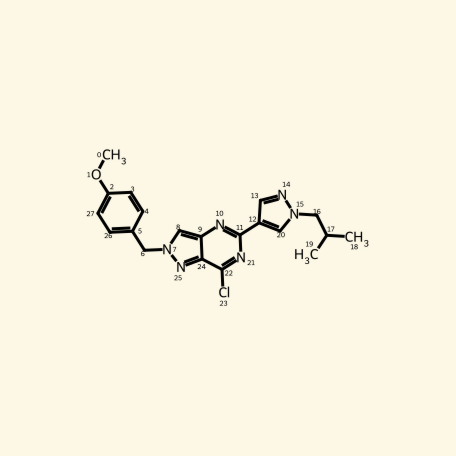 COc1ccc(Cn2cc3nc(-c4cnn(CC(C)C)c4)nc(Cl)c3n2)cc1